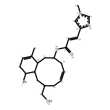 CC1=CCC(C(C)C)C2CC(CO)CC=CCC(OC(=O)C=Cc3cn(C)cn3)CC12